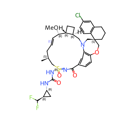 CO[C@H]1/C=C/C[C@H](C)C[S@@](=O)(NC(=O)N[C@@H]2C[C@H]2C(F)F)=NC(=O)c2ccc3c(c2)N(C[C@@H]2CC[C@H]21)C[C@@]1(CCCc2cc(Cl)ccc21)CO3